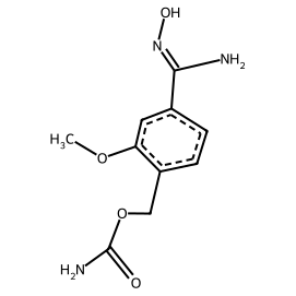 COc1cc(C(N)=NO)ccc1COC(N)=O